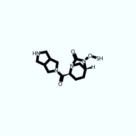 O=C([C@@H]1CC[C@@H]2CN1C(=O)N2OS)N1CC2CNCC2C1